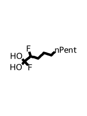 CCCCCCCCC(F)C(O)(O)F